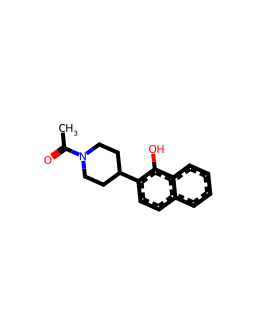 CC(=O)N1CCC(c2ccc3ccccc3c2O)CC1